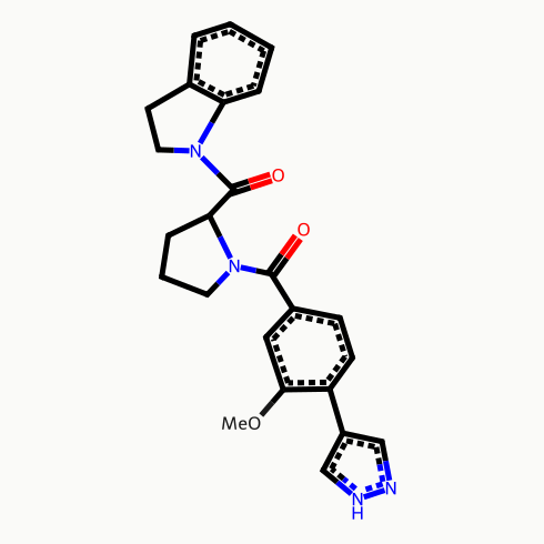 COc1cc(C(=O)N2CCCC2C(=O)N2CCc3ccccc32)ccc1-c1cn[nH]c1